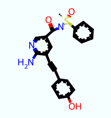 C[S@@](=O)(=NC(=O)c1cnc(N)c(C#Cc2ccc(O)cc2)c1)c1ccccc1